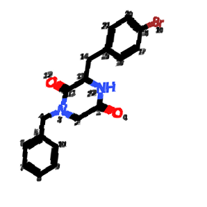 O=C1CN(Cc2ccccc2)C(=O)C(Cc2ccc(Br)cc2)N1